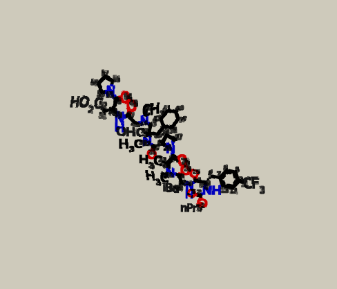 CCCOC(=O)N[C@@H](Cc1ccc(C(F)(F)F)cc1)C(=O)N[C@H](C(=O)N(C)[C@@H](C)C(=O)N1CC[C@H]1C(=O)N(C)[C@](C=O)(CC1CCCCC1)CN(C)CC(=O)N[C@@H](CC(=O)O)C(=O)N1CCCC1)[C@@H](C)CC